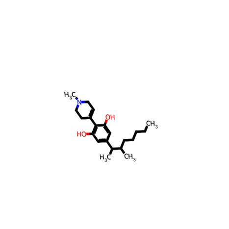 CCCCCC(C)C(C)c1cc(O)c(C2=CCN(C)CC2)c(O)c1